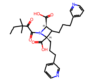 CCC(C)(C)C(=O)C(=O)N1[C@@H](C(=O)O)C(CCCc2cccnc2)[C@]1(CCCc1cccnc1)C(=O)O